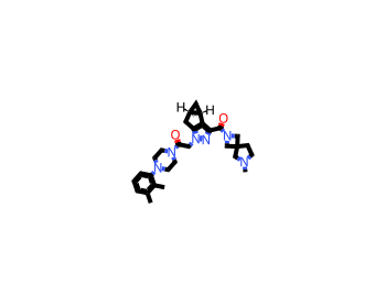 Cc1cccc(N2CCN(C(=O)Cn3nc(C(=O)N4CC5(CCN(C)C5)C4)c4c3C[C@H]3C[C@@H]43)CC2)c1C